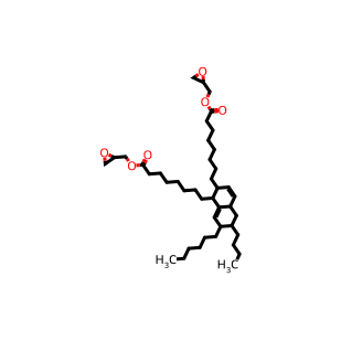 CCCCCCC1C=C2C(C=CC(CCCCCCCC(=O)OCC3CO3)C2CCCCCCCC(=O)OCC2CO2)CC1CCCC